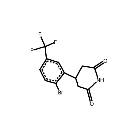 O=C1CC(c2cc(C(F)(F)F)ccc2Br)CC(=O)N1